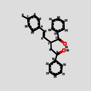 Cc1ccc(/C=C/C(CC(=O)c2ccccc2)C(=O)c2ccccc2)cc1